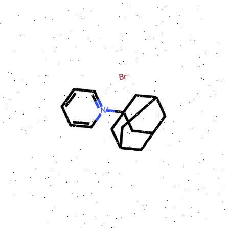 [Br-].c1cc[n+](C23CC4CC(CC(C4)C2)C3)cc1